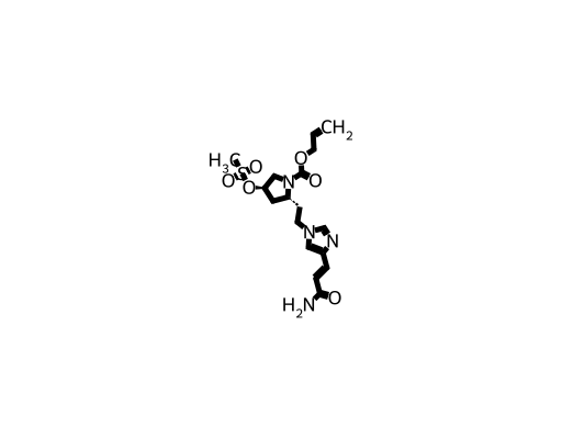 C=CCOC(=O)N1C[C@H](OS(C)(=O)=O)C[C@H]1CCn1cnc(C=CC(N)=O)c1